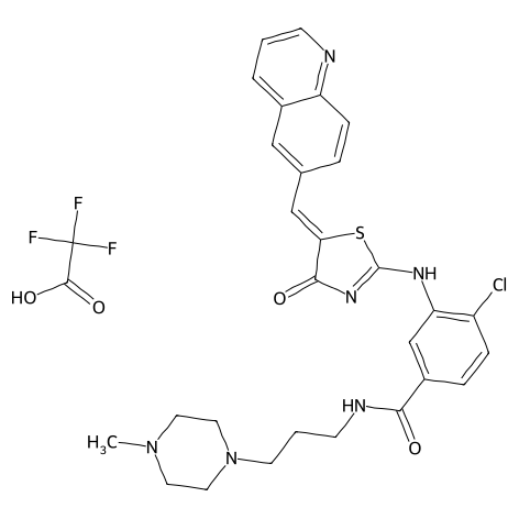 CN1CCN(CCCNC(=O)c2ccc(Cl)c(NC3=NC(=O)/C(=C/c4ccc5ncccc5c4)S3)c2)CC1.O=C(O)C(F)(F)F